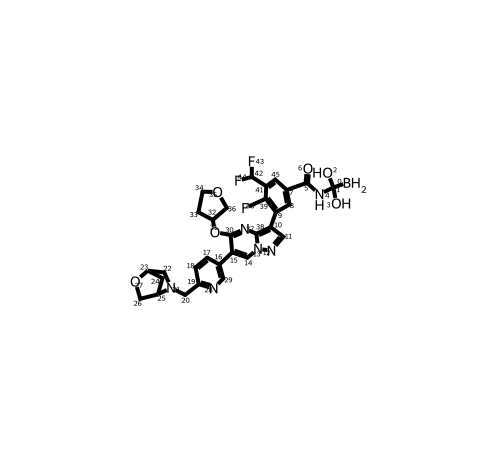 BC(O)(O)NC(=O)c1cc(-c2cnn3cc(-c4ccc(CN5CC6CC5CO6)nc4)c(OC4CCOC4)nc23)c(F)c(C(F)F)c1